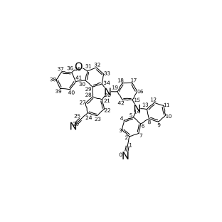 N#Cc1ccc2c(c1)c1ccccc1n2-c1cccc(-n2c3ccc(C#N)cc3c3c4c(ccc32)oc2ccccc24)c1